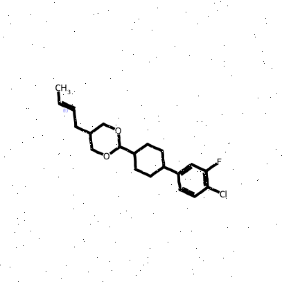 C/C=C/CC1COC(C2CCC(c3ccc(Cl)c(F)c3)CC2)OC1